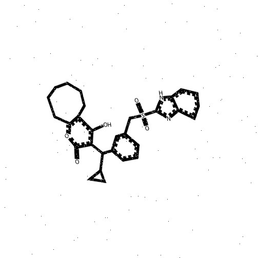 O=c1oc2c(c(O)c1C(c1cccc(CS(=O)(=O)c3nc4ccccc4[nH]3)c1)C1CC1)CCCCCC2